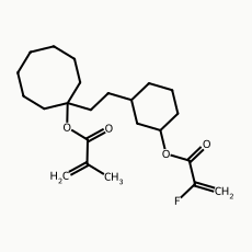 C=C(C)C(=O)OC1(CCC2CCCC(OC(=O)C(=C)F)C2)CCCCCCC1